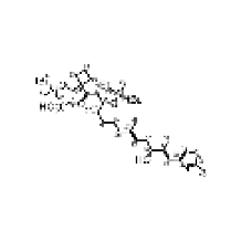 CC[C@@H](C(=O)C1([C@H](CC(=O)O)O[Si](C)(C)C(C)(C)C)CCC1)[C@@H](O[Si](C)(C)C(C)(C)C)[C@@H](C)CCC/C(C)=C/C[C@H](O)/C(C)=C/c1csc(C)n1